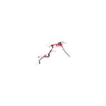 C=C/C=C/CC/C=C/C=C/C=C/CC/C=C/[C@@H](O)[C@H](O)[C@@H]1O[C@@H]([C@H](O)[C@H](O)C(=C)CC[C@@H](O)[C@H]2C[C@@H](O)[C@@H](O)[C@H]([C@@H](O)[C@H](O)/C=C/CC[C@H](O)C[C@@H](O)[C@@H](O)CC[C@@H](O)[C@H](O)C[C@@H](C)CC[C@H](O)CC(=O)C[C@](C)(O)CCC[C@@H](O)CCC(C)C[C@@H](O)CO)O2)C[C@@H](O)[C@H]1O